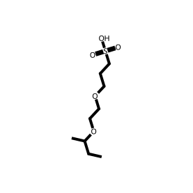 CCC(C)OCCOCCCS(=O)(=O)O